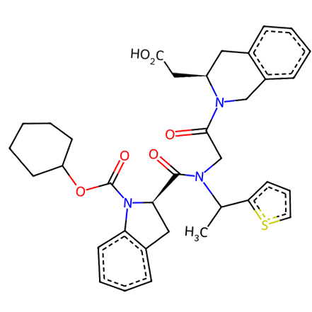 CC(c1cccs1)N(CC(=O)N1Cc2ccccc2C[C@@H]1CC(=O)O)C(=O)[C@H]1Cc2ccccc2N1C(=O)OC1CCCCC1